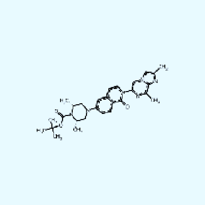 Cc1cn2cc(-n3ccc4cc(N5C[C@@H](C)N(C(=O)OC(C)(C)C)[C@@H](C)C5)ccc4c3=O)nc(C)c2n1